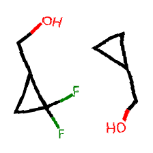 OCC1CC1.OCC1CC1(F)F